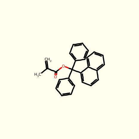 C=C(C)C(=O)OC(c1ccccc1)(c1ccccc1)c1cccc2ccccc12